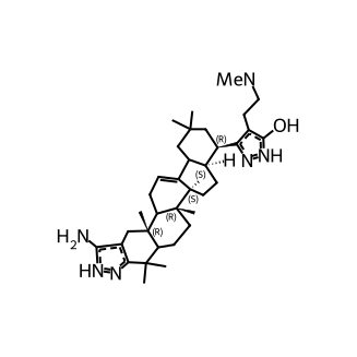 CNCCc1c([C@@H]2CC(C)(C)CC3C4=CCC5[C@@]6(C)Cc7c(n[nH]c7N)C(C)(C)C6CC[C@@]5(C)[C@]4(C)CC[C@@H]32)n[nH]c1O